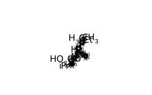 CCC(C)(C)c1ccc(-c2ccc3cc(C(=O)N[C@@H](Cc4ccc(C(C)C)s4)C(=O)O)nc(CC4CCCC4)c3c2)cc1